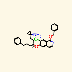 NC1(CC[C@@H](CCCc2ccccc2)Oc2cc3ccnc(OCc4ccccc4)c3cc2Cl)CC1